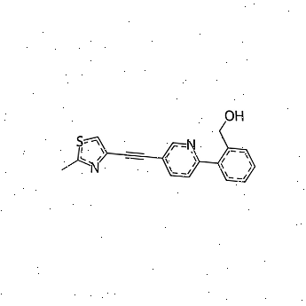 Cc1nc(C#Cc2ccc(-c3ccccc3CO)nc2)cs1